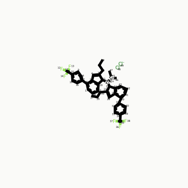 CCCC1=Cc2c(-c3ccc(C(F)(F)F)cc3)cccc2[CH]1[Zr+2]([CH]1C(CCC)=Cc2c(-c3ccc(C(F)(F)F)cc3)cccc21)=[Sn]([CH3])[CH3].[Cl-].[Cl-]